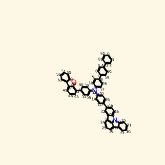 c1ccc(-c2ccc(-c3ccc(N(c4ccc(-c5ccc6c(c5)c5cccc7c8ccccc8n6c75)cc4)c4ccc(-c5cccc6c5oc5ccccc56)cc4)cc3)cc2)cc1